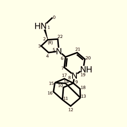 CN[C@@H]1CCN(C2=CN(C34CC5CC(CC(C5)C3)C4)NC=C2)C1